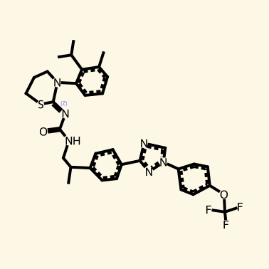 Cc1cccc(N2CCCS/C2=N\C(=O)NCC(C)c2ccc(-c3ncn(-c4ccc(OC(F)(F)F)cc4)n3)cc2)c1C(C)C